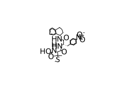 CSC(C)(C)[C@H](NC(=O)O)C(=O)N[C@@H](Cc1ccc([N+](=O)[O-])cc1)C(=O)N[C@@H]1CCCc2ccccc21